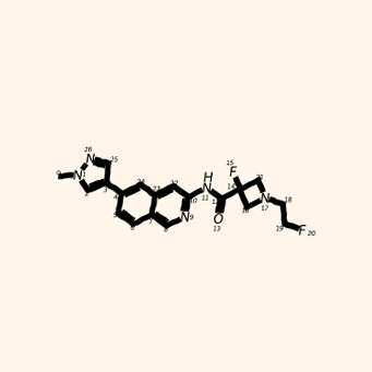 Cn1cc(-c2ccc3cnc(NC(=O)C4(F)CN(CCF)C4)cc3c2)cn1